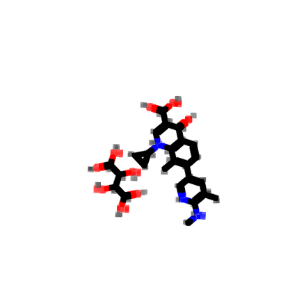 CNc1ncc(-c2ccc3c(=O)c(C(=O)O)cn(C4CC4)c3c2C)cc1C.O=C(O)C(O)C(O)C(=O)O